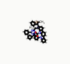 C=C(/C=C\c1c(C)sc2ccccc12)c1nc(-c2ccccc2)nc(-c2cccc(-n3c4ccccc4c4ccc5c6ccccc6n(-c6ccc(-c7ccccc7)cc6)c5c43)c2)n1